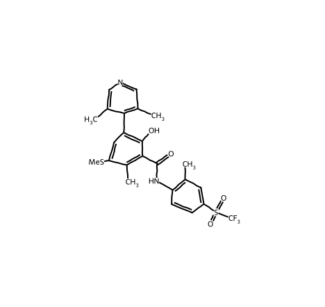 CSc1cc(-c2c(C)cncc2C)c(O)c(C(=O)Nc2ccc(S(=O)(=O)C(F)(F)F)cc2C)c1C